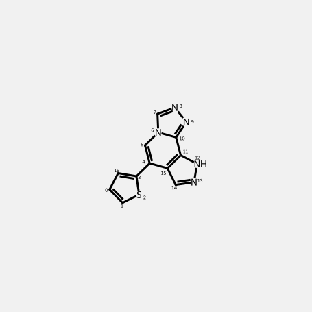 c1csc(-c2cn3cnnc3c3[nH]ncc23)c1